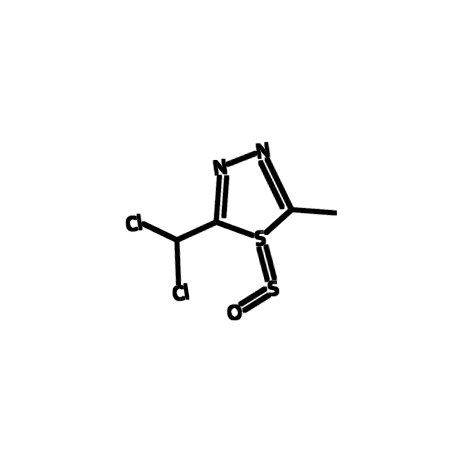 CC1=NN=C(C(Cl)Cl)S1=S=O